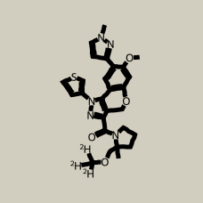 [2H]C([2H])([2H])OCC1(C)CCCN1C(=O)c1nn(-c2ccsc2)c2c1COc1cc(OC)c(-c3ccn(C)n3)cc1-2